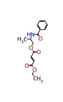 CCOC(=O)/C=C/C(=O)OCC(C)NC(=O)c1ccccc1